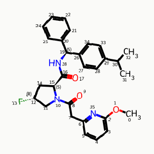 COc1cccc(CC(=O)N2C[C@H](F)C[C@H]2C(=O)N[C@@H](c2ccccc2)c2ccc(C(C)C)cc2)n1